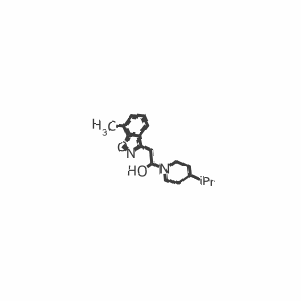 Cc1cccc2c(CC(O)N3CCC(C(C)C)CC3)noc12